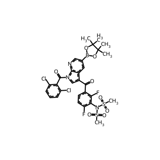 CC1(C)OB(c2cnc3c(c2)c(C(=O)c2ccc(F)c(N(S(C)(=O)=O)S(C)(=O)=O)c2F)cn3C(=O)c2c(Cl)cccc2Cl)OC1(C)C